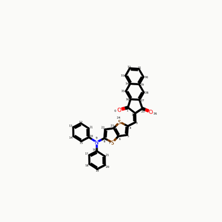 O=C1C(=Cc2cc3sc(N(c4ccccc4)c4ccccc4)cc3s2)C(=O)c2cc3ccccc3cc21